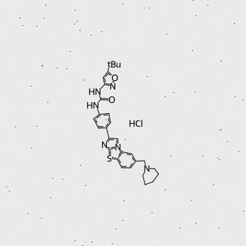 CC(C)(C)c1cc(NC(=O)Nc2ccc(-c3cn4c(n3)sc3ccc(CN5CCCCC5)cc34)cc2)no1.Cl